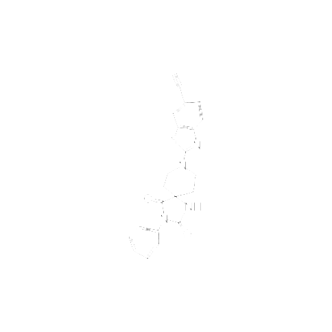 C#Cc1ccc2nc(N3CCC4(CC3)NC(=O)N(c3ccccc3)C4=O)sc2c1